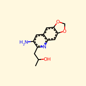 CC(O)Cc1nc2cc3c(cc2cc1N)OCO3